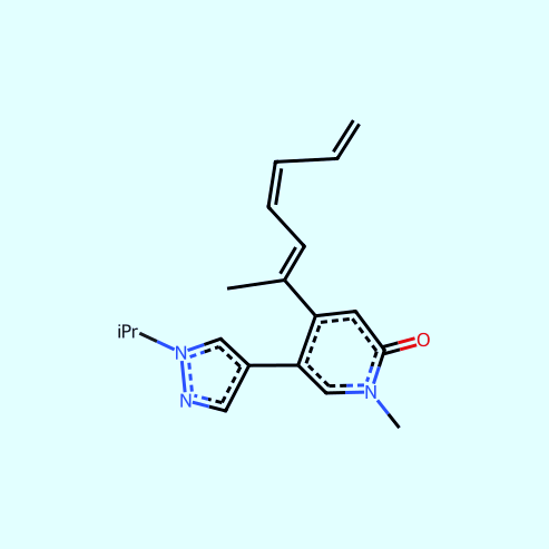 C=C/C=C\C=C(/C)c1cc(=O)n(C)cc1-c1cnn(C(C)C)c1